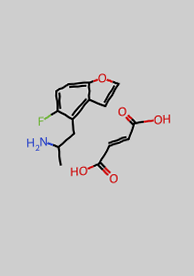 CC(N)Cc1c(F)ccc2occc12.O=C(O)/C=C/C(=O)O